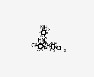 CN1CCN(c2nc(NCc3ccc(N)cc3)c3cc(Cl)ccc3n2)CC1